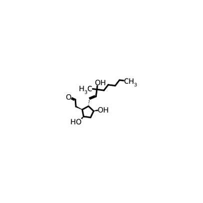 CCCCCC(C)(O)C=C[C@H]1[C@H](CC=O)[C@H](O)C[C@@H]1O